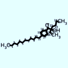 CCCCCCCCCCCCc1ccc(C(=O)C(O)(CC)CCCC)cc1